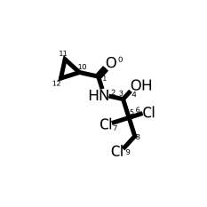 O=C(NC(O)C(Cl)(Cl)CCl)C1CC1